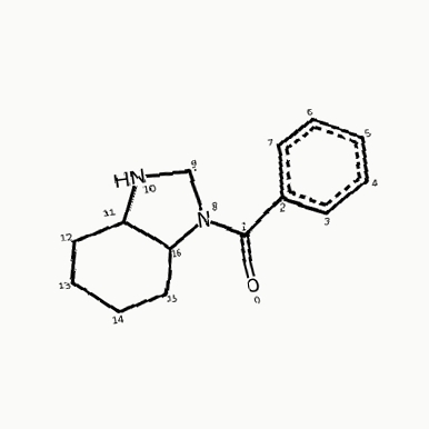 O=C(c1ccccc1)N1[CH]NC2CCCCC21